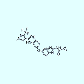 Cn1cc(C(=O)Nc2cc(Oc3ccc4nc(NC(=O)C5CC5)nn4c3)ccc2F)c(C(F)(F)F)n1